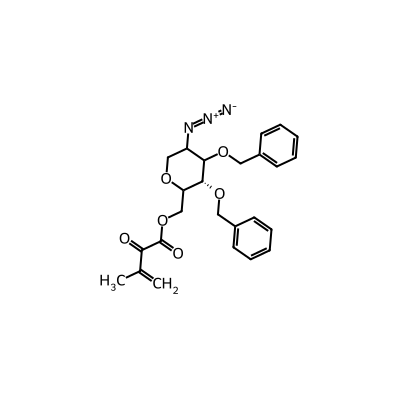 C=C(C)C(=O)C(=O)OCC1OCC(N=[N+]=[N-])C(OCc2ccccc2)[C@@H]1OCc1ccccc1